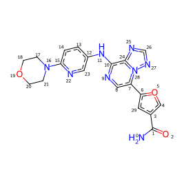 NC(=O)c1coc(-c2cnc(Nc3ccc(N4CCOCC4)nc3)c3ncnn23)c1